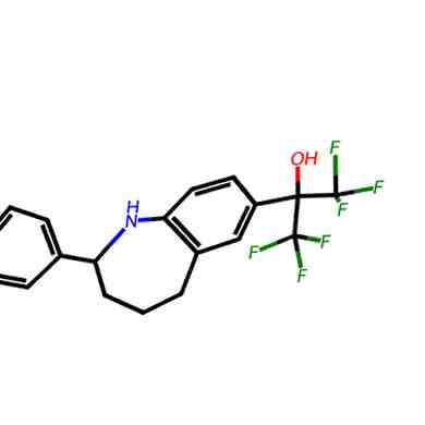 OC(c1ccc2c(c1)CCCC(c1ccccc1)N2)(C(F)(F)F)C(F)(F)F